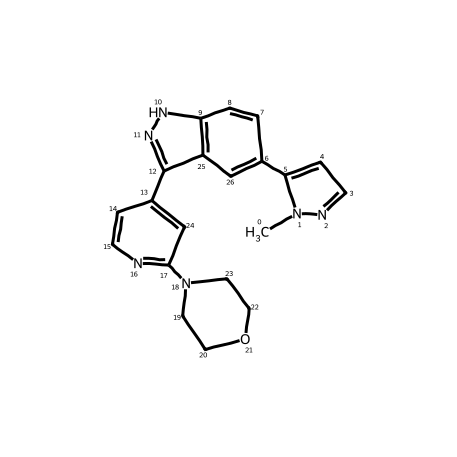 Cn1nccc1-c1ccc2[nH]nc(-c3ccnc(N4CCOCC4)c3)c2c1